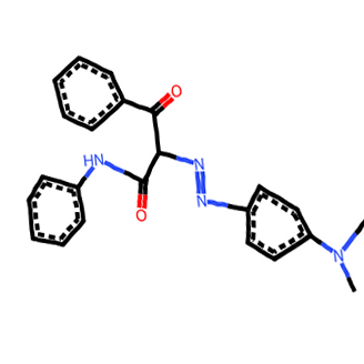 CN(C)c1ccc(N=NC(C(=O)Nc2ccccc2)C(=O)c2ccccc2)cc1